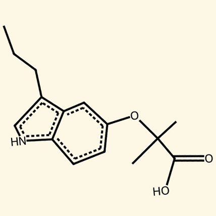 CCCc1c[nH]c2ccc(OC(C)(C)C(=O)O)cc12